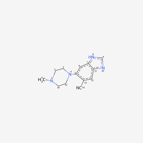 CN1CCN(c2cc3[nH]cnc3cc2C#N)CC1